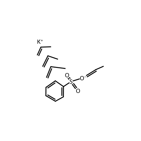 C=CC.C=CC.C=CC.C=CC.O=S(=O)([O-])c1ccccc1.[K+]